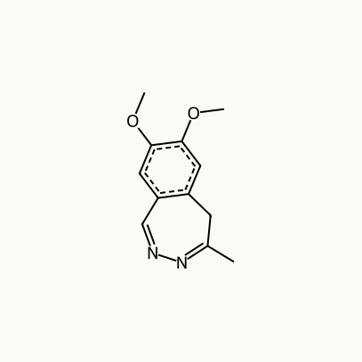 COc1cc2c(cc1OC)CC(C)=NN=C2